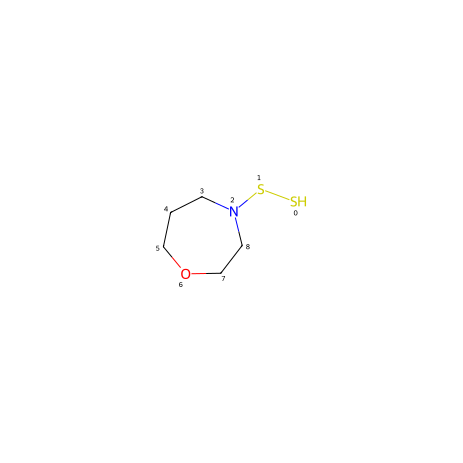 SSN1CCCOCC1